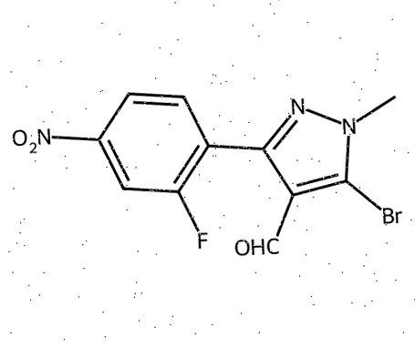 Cn1nc(-c2ccc([N+](=O)[O-])cc2F)c(C=O)c1Br